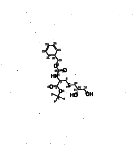 CC(C)(C)OC(=O)C(CSC[C@@H](O)CO)NC(=O)OCc1ccccc1